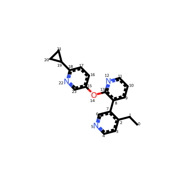 CCc1ccncc1-c1cccnc1Oc1ccc(C2CC2)nc1